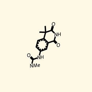 CNC(=O)Nc1ccc2c(c1)C(=O)NC(=O)C2(C)C